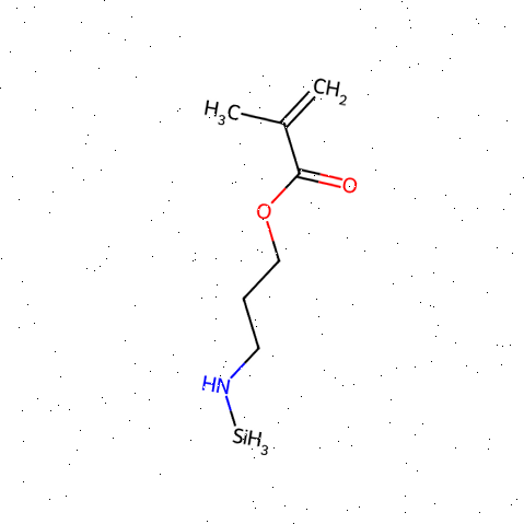 C=C(C)C(=O)OCCCN[SiH3]